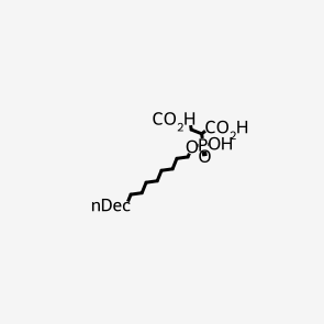 CCCCCCCCCCCCCCCCCCOP(=O)(O)C(CC(=O)O)C(=O)O